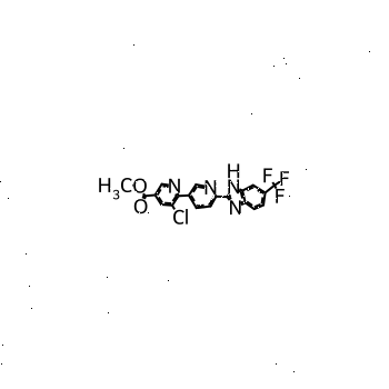 COC(=O)c1cnc(-c2ccc(-c3nc4ccc(C(F)(F)F)cc4[nH]3)nc2)c(Cl)c1